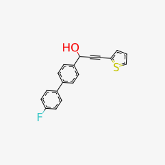 OC(C#Cc1cccs1)c1ccc(-c2ccc(F)cc2)cc1